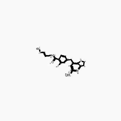 CC(C)(C)SCCNC(=O)c1ccc(Cc2cc(C=O)nc3c2OCC3)cc1F